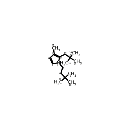 Cc1ccn(CCC(C)(C)C)c1CC(C)(C)C